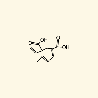 C=CC1(C(=O)O)CC(C(=O)O)=CC=C1C